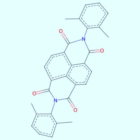 Cc1cccc(C)c1N1C(=O)c2ccc3c4c(ccc(c24)C1=O)C(=O)N(c1c(C)cccc1C)C3=O